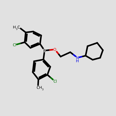 Cc1ccc(B(OCCNC2CCCCC2)c2ccc(C)c(Cl)c2)cc1Cl